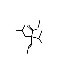 CC=CC(CC(C)C)(C(=O)OC)C(C)C